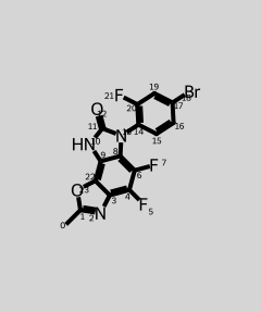 Cc1nc2c(F)c(F)c3c([nH]c(=O)n3-c3ccc(Br)cc3F)c2o1